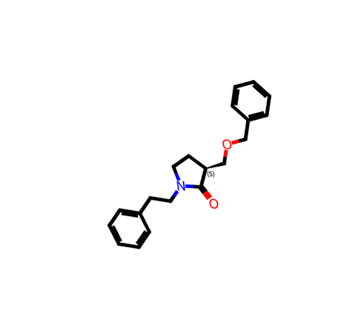 O=C1[C@H](COCc2ccccc2)CCN1CCc1ccccc1